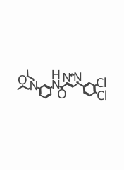 CC1CN(c2cccc(NC(=O)c3cc(-c4ccc(Cl)c(Cl)c4)ncn3)c2)CC(C)O1